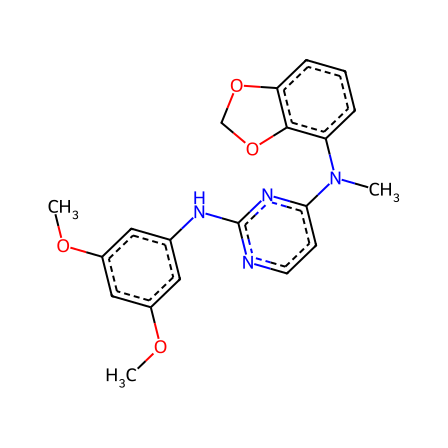 COc1cc(Nc2nccc(N(C)c3cccc4c3OCO4)n2)cc(OC)c1